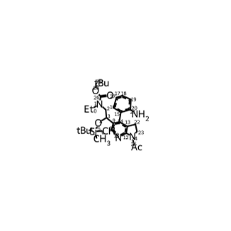 CCN(CC(O[Si](C)(C)C(C)(C)C)c1cnc2c(c1-c1ccccc1N)CCN2C(C)=O)C(=O)OC(C)(C)C